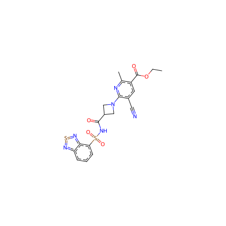 CCOC(=O)c1cc(C#N)c(N2CC(C(=O)NS(=O)(=O)c3cccc4nsnc34)C2)nc1C